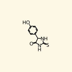 O=C1NC(=S)NC1c1ccc(O)cc1